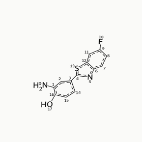 Nc1cc(-c2nc3ccc(F)cc3s2)ccc1O